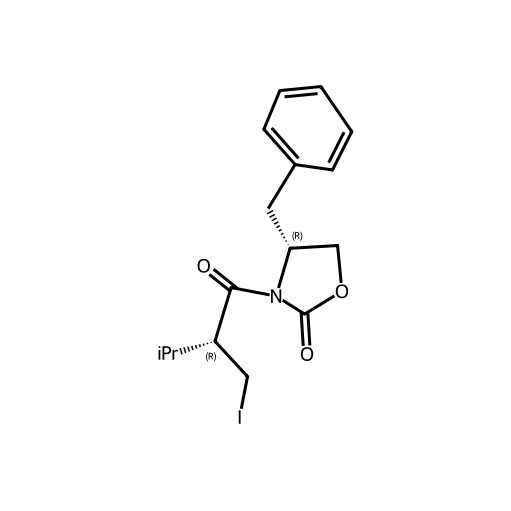 CC(C)[C@@H](CI)C(=O)N1C(=O)OC[C@H]1Cc1ccccc1